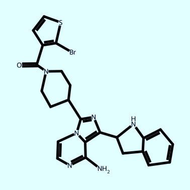 Nc1nccn2c(C3CCN(C(=O)c4ccsc4Br)CC3)nc(C3Cc4ccccc4N3)c12